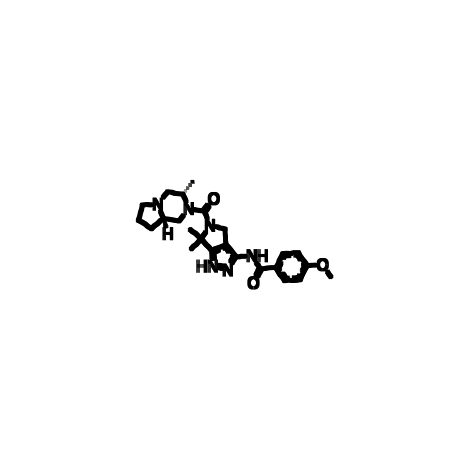 COc1ccc(C(=O)Nc2n[nH]c3c2CN(C(=O)N2C[C@@H]4CCCN4C[C@@H]2C)C3(C)C)cc1